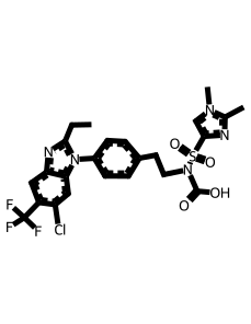 CCc1nc2cc(C(F)(F)F)c(Cl)cc2n1-c1ccc(CCN(C(=O)O)S(=O)(=O)c2cn(C)c(C)n2)cc1